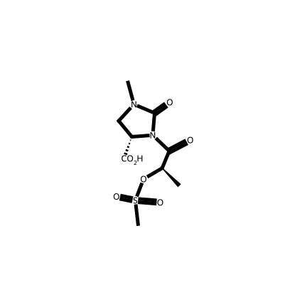 C[C@@H](OS(C)(=O)=O)C(=O)N1C(=O)N(C)C[C@H]1C(=O)O